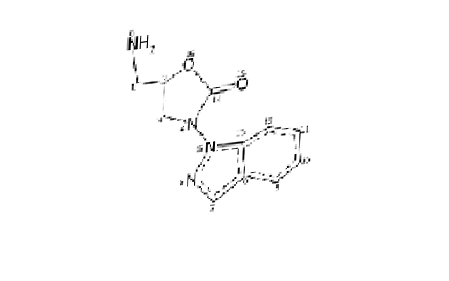 NCC1CN(n2ncc3ccccc32)C(=O)O1